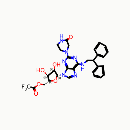 O=C1CN(c2nc(NCC(c3ccccc3)c3ccccc3)c3ncn([C@@H]4O[C@H](COC(=O)C(F)(F)F)[C@@H](O)[C@H]4O)c3n2)CCN1